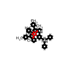 Cc1cc(C)c(-c2ccc3c(c2)c2cc(-c4c(C)cc(C)cc4C)ccc2n3-c2ccc(-c3nc(-c4ccccc4)nc(-c4ccccc4)n3)cc2-c2ncccc2-c2nc(-c3ccccc3)nc(-c3ccccc3)n2)c(C)c1